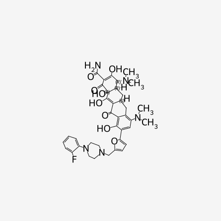 CN(C)c1cc(-c2ccc(CN3CCN(c4ccccc4F)CC3)o2)c(O)c2c1C[C@@H]1C[C@@H]3[C@@H](N(C)C)C(O)=C(C(N)=O)C(=O)[C@@]3(O)C(O)=C1C2=O